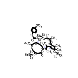 CC[C@H](O[Si](CC)(CC)CC)[C@@H](C)[C@H]1O[C@@H]1[C@@H](C)[C@@](C)(/C=C/C(C)=C(\C)[C@H]1C/C=C/[C@@H](OC(=O)Oc2ccc([N+](=O)[O-])cc2)[C@H](OC(C)=O)CC[C@@H](O[Si](CC)(CC)CC)CC(=O)O1)O[Si](CC)(CC)CC